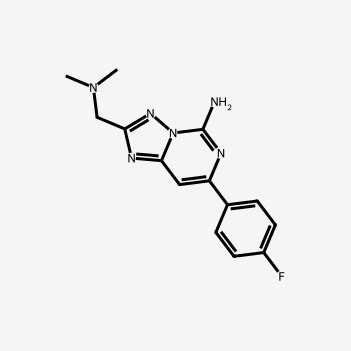 CN(C)Cc1nc2cc(-c3ccc(F)cc3)nc(N)n2n1